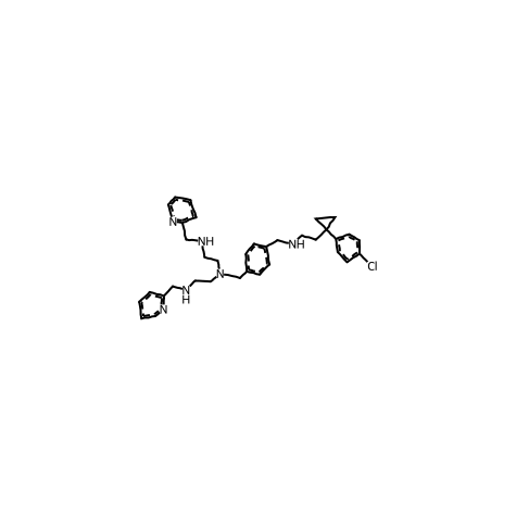 Clc1ccc(C2(CCNCc3ccc(CN(CCNCc4ccccn4)CCNCc4ccccn4)cc3)CC2)cc1